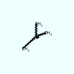 CCCCCCCCCCCCCCN1C=CN(CCCCCCC)C1CCCCCCCCCC